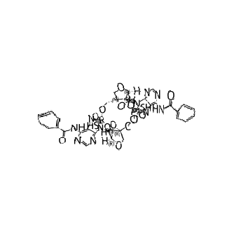 O=C(Nc1ncnc2c1ncn2[C@@H]1O[C@@]23CO[C@@H]1[C@@H]2O[P@](=O)(S)OC[C@@]12CO[C@@H]([C@H](n4cnc5c(NC(=O)c6ccccc6)ncnc54)O1)[C@@H]2O[P@](=O)(S)OC3)c1ccccc1